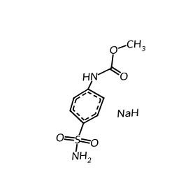 COC(=O)Nc1ccc(S(N)(=O)=O)cc1.[NaH]